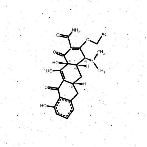 CC(=O)COC1=C(C(N)=O)C(=O)[C@@]2(O)C(O)=C3C(=O)c4c(O)cccc4C[C@H]3C[C@H]2[C@@H]1N(C)C